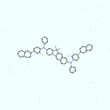 CC1(C)c2cc(N(c3ccccc3)c3ccc(-c4ccc5ccccc5c4)cc3F)ccc2-c2cc3ccc(N(c4ccccc4)c4ccc(-c5ccc6ccccc6c5)cc4F)cc3cc21